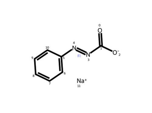 O=C([O-])/N=N/c1ccccc1.[Na+]